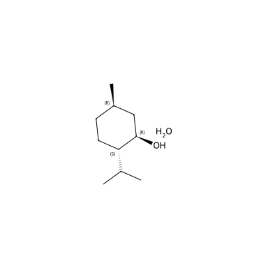 CC(C)[C@@H]1CC[C@@H](C)C[C@H]1O.O